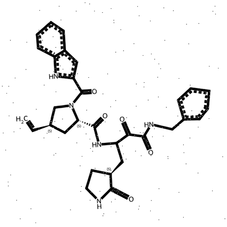 C=C[C@@H]1C[C@@H](C(=O)NC(C[C@@H]2CCNC2=O)C(=O)C(=O)NCc2ccccc2)N(C(=O)c2cc3ccccc3[nH]2)C1